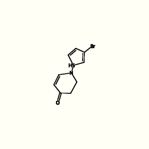 O=C1C=CN([SH]2C=CC(Br)=C2)CC1